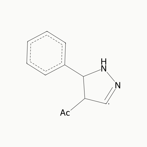 CC(=O)C1[C]=NNC1c1ccccc1